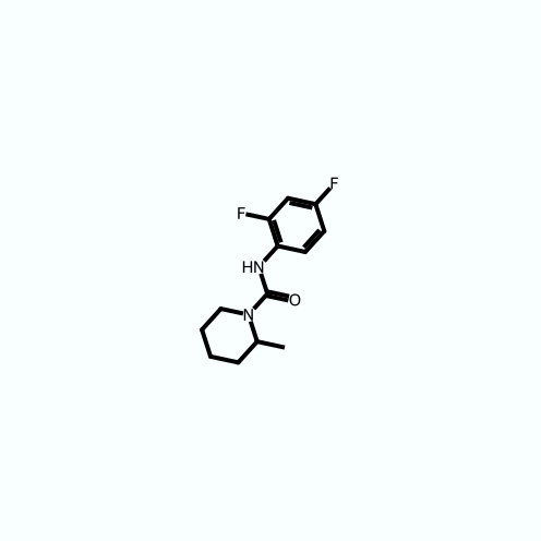 CC1CCCCN1C(=O)Nc1ccc(F)cc1F